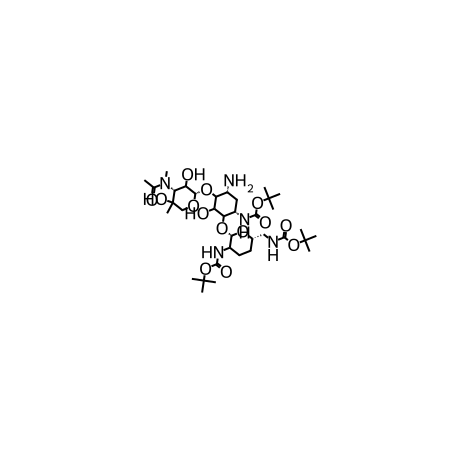 CC(=O)N(C)[C@@H]1C(O)[C@H](OC2C(O)C(O[C@@H]3O[C@H](CNC(=O)OC(C)(C)C)CCC3NC(=O)OC(C)(C)C)[C@@H](NC(=O)OC(C)(C)C)C[C@H]2N)OCC1(C)O